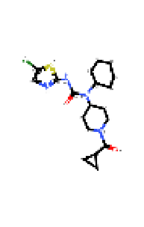 O=C(C1CC1)N1CCC(N(C(=O)Nc2ncc(Cl)s2)C2CCCCC2)CC1